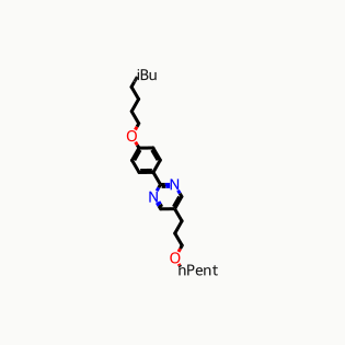 CCCCCOCCCc1cnc(-c2ccc(OCCCCC(C)CC)cc2)nc1